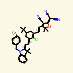 CC1(C)OC(=C(C#N)C#N)C(C#N)=C1/C=C/C1=C(Cl)C(=C/C=C2/N(Cc3ccc(Br)cc3)c3ccccc3C2(C)C)/CC(C(C)(C)C)C1